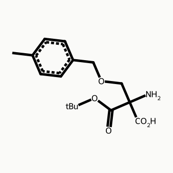 Cc1ccc(COCC(N)(C(=O)O)C(=O)OC(C)(C)C)cc1